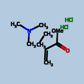 C=CC(=O)OC.CC.CN(C)C.Cl.Cl